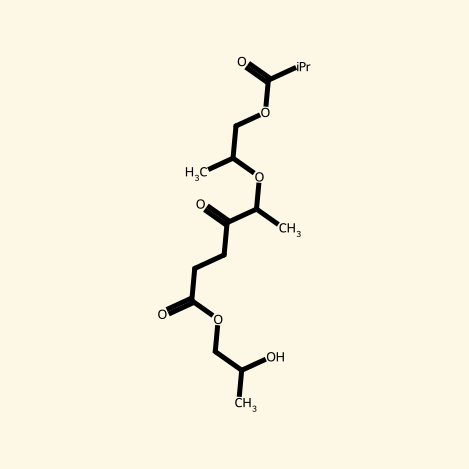 CC(O)COC(=O)CCC(=O)C(C)OC(C)COC(=O)C(C)C